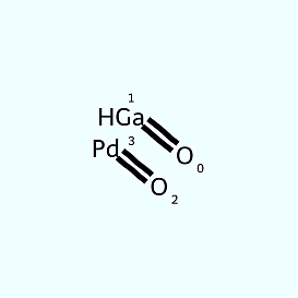 [O]=[GaH].[O]=[Pd]